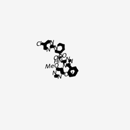 COc1ncnc(O)c1-n1c(NS(=O)(=O)[C@@H]2CCCN(c3ncc(Cl)cn3)C2)nnc1C1=C=C=CC=C1